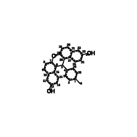 Cc1ccc(C2c3c(ccc4cc(O)ccc34)Oc3ccc4cc(O)ccc4c32)cc1